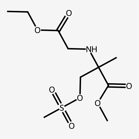 CCOC(=O)CNC(C)(COS(C)(=O)=O)C(=O)OC